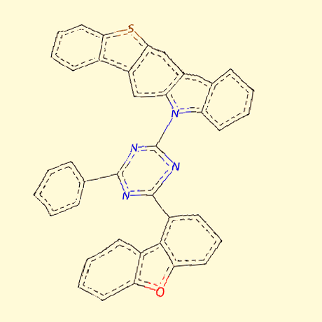 c1ccc(-c2nc(-c3cccc4oc5ccccc5c34)nc(-n3c4ccccc4c4cc5sc6ccccc6c5cc43)n2)cc1